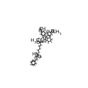 CCC(COC(c1ccccc1)(c1ccc(OC)cc1)c1ccc(OC)cc1)NC(=O)CCCCCNC(=O)OCc1ccccc1